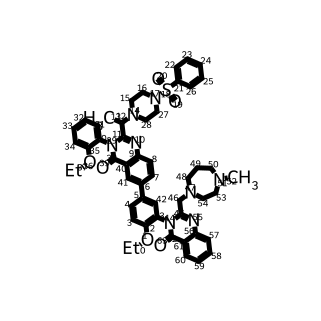 CCOc1ccc(-c2ccc3nc(C(C)N4CCN(S(=O)(=O)c5ccccc5)CC4)n(-c4ccccc4OCC)c(=O)c3c2)cc1-n1c(CN2CCCN(C)CC2)nc2ccccc2c1=O